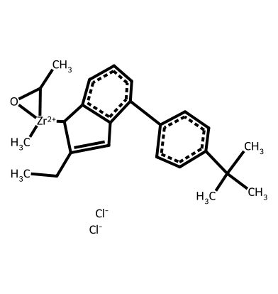 CCC1=Cc2c(-c3ccc(C(C)(C)C)cc3)cccc2[CH]1[Zr+2]1([CH3])[O][CH]1C.[Cl-].[Cl-]